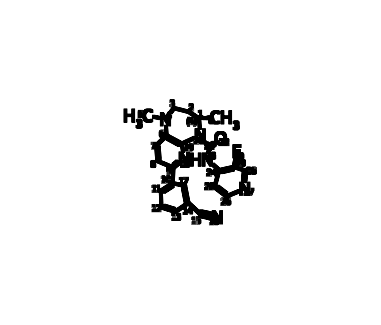 C[C@@H]1CCN(C)c2ccc(-c3cccc(C#N)c3)nc2N1C(=O)Nc1ccncc1F